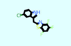 Fc1cc(F)c2sc(Cc3c[nH]c4ccc(Cl)cc34)nc2c1F